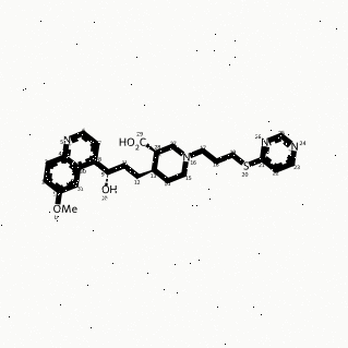 COc1ccc2nccc([C@@H](O)CC[C@@H]3CCN(CCCSc4ccncn4)C[C@@H]3C(=O)O)c2c1